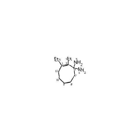 CC/C1=C(\CC)C(N)(N)CCCCC1